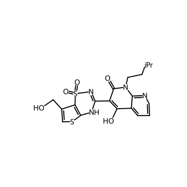 CC(C)CCn1c(=O)c(C2=NS(=O)(=O)c3c(CO)csc3N2)c(O)c2cccnc21